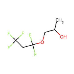 CC(O)COC(F)(F)CC(F)(F)F